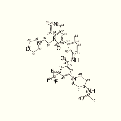 CC(=O)NC1CCN(c2cc(C(=O)Nc3ccc(C)c(-c4cc5cnc(C)cc5n(CCN5CCOCC5)c4=O)c3)cc(C(F)(F)F)c2)CC1